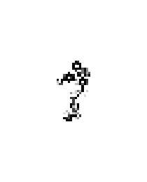 O=C(NCC(=O)N1CCN(C(=O)c2ccco2)CC1)c1ccc(S(=O)(=O)Nc2ccccc2Oc2ccc(Cl)cc2Cl)cc1